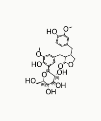 COc1cc(CC2COC(=O)C2Cc2cc(OC)c(O)c([C@@H]3O[C@H](CO)[C@@H](O)[C@H](O)[C@H]3O)c2)ccc1O